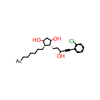 CC(=O)CCCCCC[C@@H]1[C@@H](CCC(O)C#Cc2ccccc2Cl)[C@H](O)C[C@@H]1O